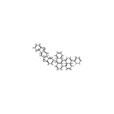 C1=CCCC(c2ccc(-c3c4ccccc4c(-c4ccc5oc6cc7c(cc6c5c4)oc4ccccc47)c4ccccc34)c3ccccc23)=C1